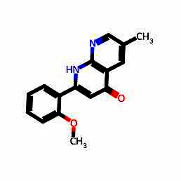 COc1ccccc1-c1cc(=O)c2cc(C)cnc2[nH]1